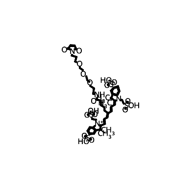 CC1(C)C(/C=C/C=C(/C=C/C=C2/N(CCS(=O)(=O)O)c3ccc(S(=O)(=O)O)cc3C2(C)C)CCCCC(=O)NCCCOCCOCCOCCCN2C(=O)C=CC2=O)=[N+](CCS(=O)(=O)O)c2ccc(S(=O)(=O)O)cc21